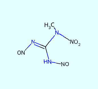 CN(/C(=N/N=O)NN=O)[N+](=O)[O-]